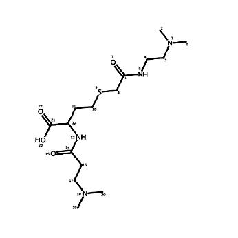 CN(C)CCNC(=O)CSCCC(NC(=O)CCN(C)C)C(=O)O